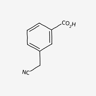 N#CCc1cccc(C(=O)O)c1